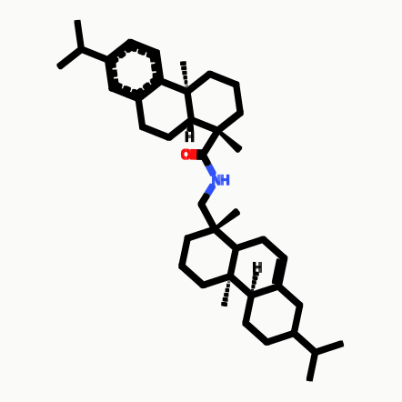 CC(C)c1ccc2c(c1)CC[C@H]1[C@@](C)(C(=O)NC[C@@]3(C)CCC[C@@]4(C)C3CC=C3CC(C(C)C)CC[C@H]34)CCC[C@]21C